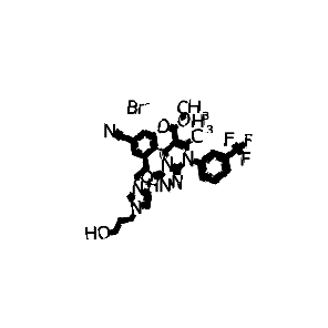 COC(=O)C1=C(C)N(c2cccc(C(F)(F)F)c2)c2n[nH]c(=O)n2[C@@H]1c1ccc(C#N)cc1CC[n+]1ccn(CCCO)c1.[Br-]